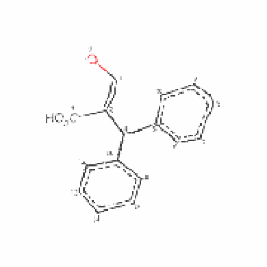 [O]C=C(C(=O)O)C(c1ccccc1)c1ccccc1